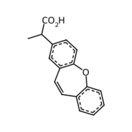 CC(C(=O)O)c1ccc2c(c1)C=Cc1ccccc1O2